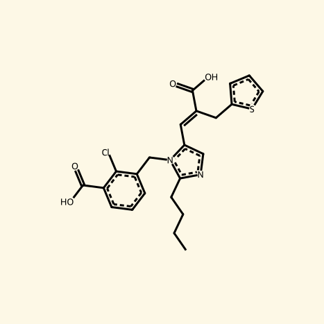 CCCCc1ncc(/C=C(\Cc2cccs2)C(=O)O)n1Cc1cccc(C(=O)O)c1Cl